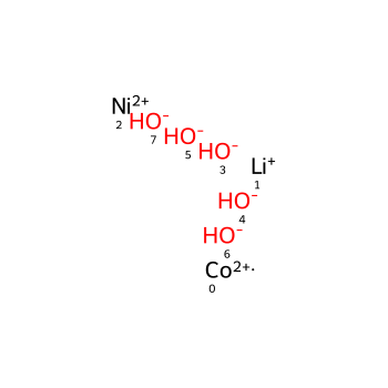 [Co+2].[Li+].[Ni+2].[OH-].[OH-].[OH-].[OH-].[OH-]